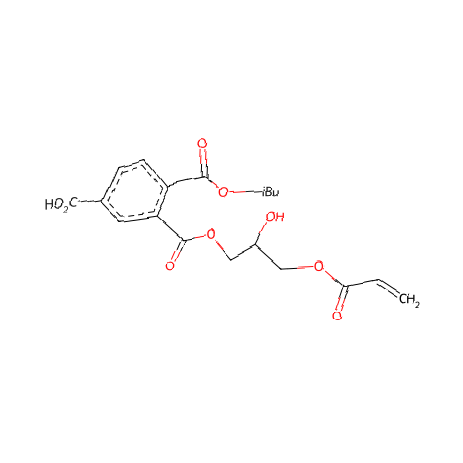 C=CC(=O)OCC(O)COC(=O)c1cc(C(=O)O)ccc1C(=O)OC(C)CC